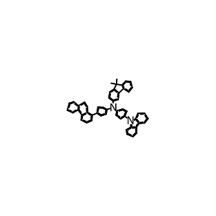 CC1(C)c2ccccc2-c2cc(N(c3ccc(-c4cccc5c4ccc4ccccc45)cc3)c3ccc(-n4c5ccccc5c5ccccc54)cc3)ccc21